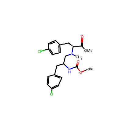 COC(=O)[C@H](Cc1ccc(Cl)cc1)N(C)CC(Cc1ccc(Cl)cc1)NC(=O)OC(C)(C)C